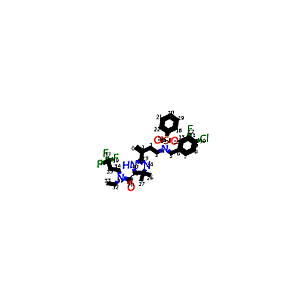 C=C(CCN(Cc1ccc(Cl)c(F)c1)S(=O)(=O)c1ccccc1)C1=NC(C)(C)[C@H](C(=O)N(CC)CCC(F)(F)F)N1